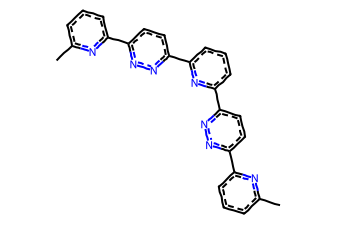 Cc1cccc(-c2ccc(-c3cccc(-c4ccc(-c5cccc(C)n5)nn4)n3)nn2)n1